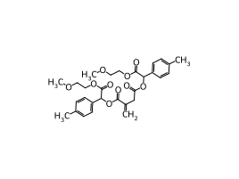 C=C(CC(=O)OC(C(=O)OCCOC)c1ccc(C)cc1)C(=O)OC(C(=O)OCCOC)c1ccc(C)cc1